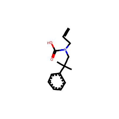 C=CCN(CC(C)(C)c1ccccc1)C(=O)O